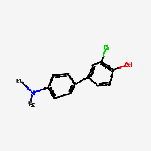 CCN(CC)c1ccc(-c2ccc(O)c(Cl)c2)cc1